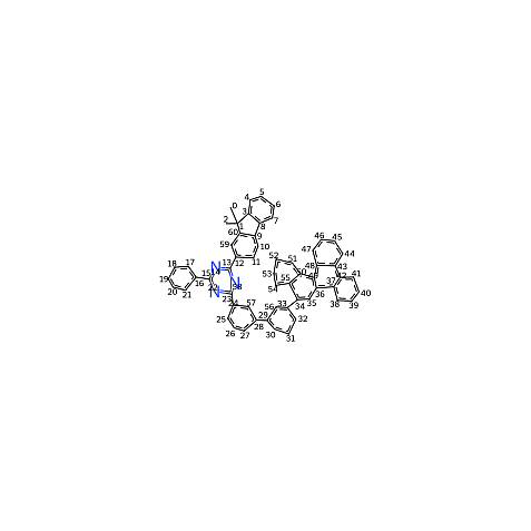 CC1(C)c2ccccc2-c2ccc(-c3nc(-c4ccccc4)nc(-c4cccc(-c5cccc(-c6cc7c8ccccc8c8ccccc8c7c7ccccc67)c5)c4)n3)cc21